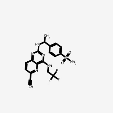 C#Cc1ccc2nc(NC(C)c3ccc(S(N)(=O)=O)cc3)nc(NCC(F)(F)F)c2n1